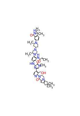 C=CC(=O)Nc1cc(Nc2nc(-c3ccnc(N4CCn5c(cc6c5CC(C)(C)C6)C4=O)c3CO)cn(C)c2=O)ccc1N1CCN(C2CCN(c3ccc4c(c3)C(=O)NC4(C)C)[C@H](C)C2)C[C@@H]1C